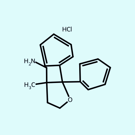 CC1(CN)CCOC1(c1ccccc1)c1ccccc1.Cl